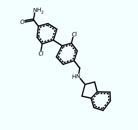 NC(=O)c1ccc(-c2ccc(CNC3Cc4ccccc4C3)cc2Cl)c(Cl)c1